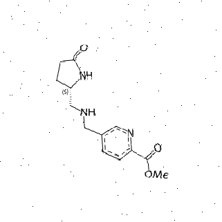 COC(=O)c1ccc(CNC[C@@H]2CCC(=O)N2)cn1